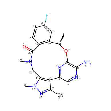 C[C@H]1Oc2nc(cnc2N)-c2c(C#N)nn(C)c2CN(C)C(=O)c2ccc(F)cc21